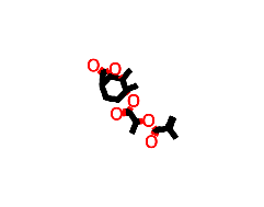 C=C(C)C(=O)OC(C)C(=O)OC1(C)CCC2CC1(C)OC2=O